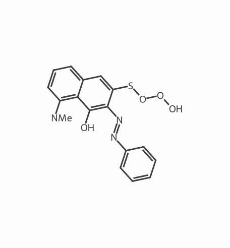 CNc1cccc2cc(SOOO)c(N=Nc3ccccc3)c(O)c12